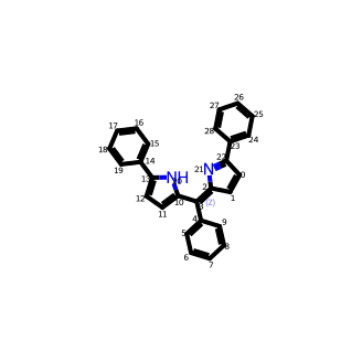 C1=C/C(=C(\c2ccccc2)c2ccc(-c3ccccc3)[nH]2)N=C1c1ccccc1